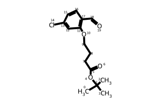 CC(C)(C)OC(=O)CCCOc1cc(Cl)ccc1C=O